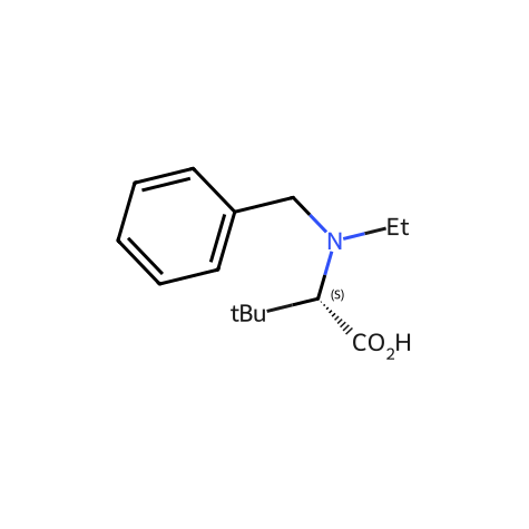 CCN(Cc1ccccc1)[C@H](C(=O)O)C(C)(C)C